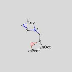 CCCCCCCCC(Cn1ccnc1)OCCCCC